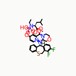 CCN([C@@H](CC(C)C)C(=O)OC)P(=O)(O)Oc1c2n(ccc1=O)N([C@@H]1c3ccccc3SCc3c1ccc(F)c3F)[C@@H]1COCCN1C2=O